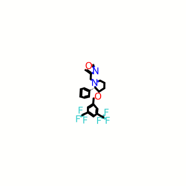 FC(F)(F)c1cc(CO[C@H]2CCCN(Cc3cocn3)[C@H]2c2ccccc2)cc(C(F)(F)F)c1